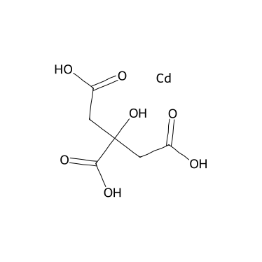 O=C(O)CC(O)(CC(=O)O)C(=O)O.[Cd]